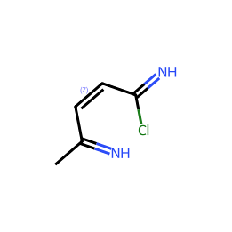 CC(=N)/C=C\C(=N)Cl